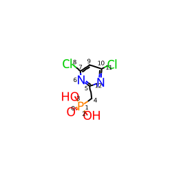 O=P(O)(O)Cc1nc(Cl)cc(Cl)n1